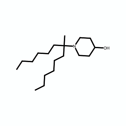 CCCCCCC(C)(CCCCCC)N1CCC(O)CC1